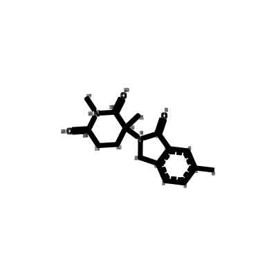 Cc1ccc2c(c1)C(=O)N(C1(C)CCC(=O)N(C)C1=O)C2